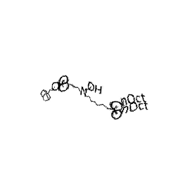 CCCCCCCCC(CCCCCCCC)OC(=O)CCCCCCCN(CCO)CCCCOC(=O)OCCC12CC3CC(CC(C3)C1)C2